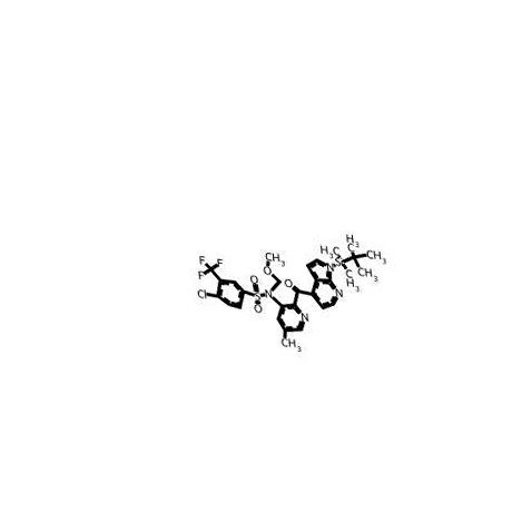 COCN(c1cc(C)cnc1C(=O)c1ccnc2c1ccn2[Si](C)(C)C(C)(C)C)S(=O)(=O)c1ccc(Cl)c(C(F)(F)F)c1